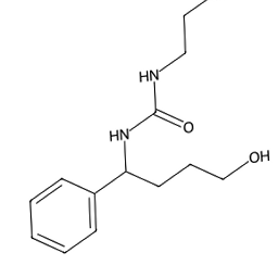 O=C(NCCCl)NC(CCCO)c1ccccc1